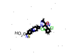 O=C(O)c1nsc2cc(N3C4CCC3CC3(CC(NCc5c(-c6c(Cl)cccc6Cl)noc5C5CC5)C3)C4)ccc12